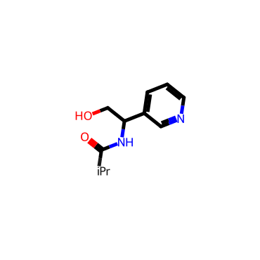 CC(C)C(=O)NC(CO)c1cccnc1